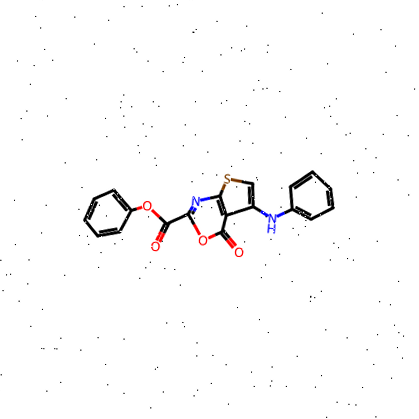 O=C(Oc1ccccc1)c1nc2scc(Nc3ccccc3)c2c(=O)o1